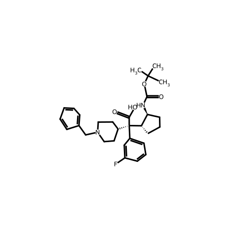 CC(C)(C)OC(=O)N[C@H]1CCC[C@@H]1[C@](C(=O)O)(c1cccc(F)c1)C1CCN(Cc2ccccc2)CC1